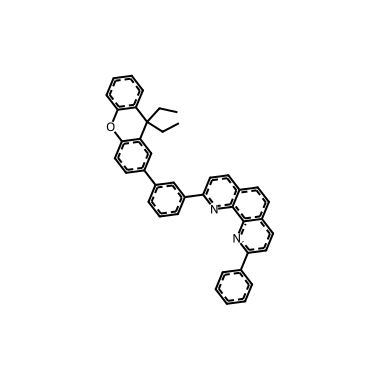 CCC1(CC)c2ccccc2Oc2ccc(-c3cccc(-c4ccc5ccc6ccc(-c7ccccc7)nc6c5n4)c3)cc21